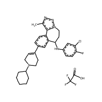 Cc1nnn2c1-c1ccc(C3=CCN(C4CCCCC4)CC3)cc1C(Nc1ccc(F)c(Cl)c1)CC2.O=C(O)C(F)(F)F